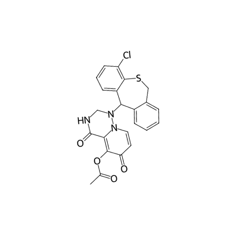 CC(=O)Oc1c2n(ccc1=O)N(C1c3ccccc3CSc3c(Cl)cccc31)CNC2=O